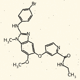 CCNC(=O)c1cc(Oc2cc3nc(Nc4ccc(Br)cc4)n(C)c3cc2OC)ccn1